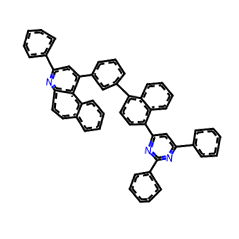 c1ccc(-c2cc(-c3ccc(-c4cccc(-c5cc(-c6ccccc6)nc6ccc7ccccc7c56)c4)c4ccccc34)nc(-c3ccccc3)n2)cc1